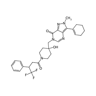 Cn1nc2c(=O)n(CC3(O)CCN(C(=O)CC(c4ccccc4)C(F)(F)F)CC3)cnc2c1C1=CCCCC1